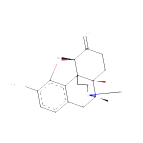 C=C1CC[C@]2(O)[C@@H]3Cc4ccc(OC)c5c4C2(CCN3C)[C@@H]1O5